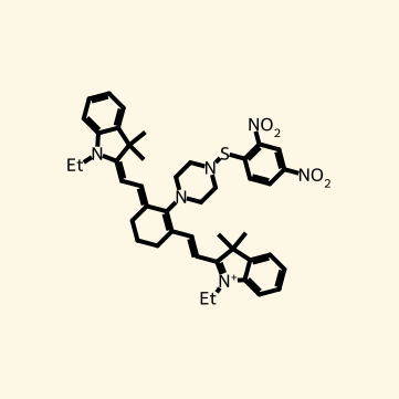 CCN1/C(=C/C=C2\CCCC(/C=C/C3=[N+](CC)c4ccccc4C3(C)C)=C2N2CCN(Sc3ccc([N+](=O)[O-])cc3[N+](=O)[O-])CC2)C(C)(C)c2ccccc21